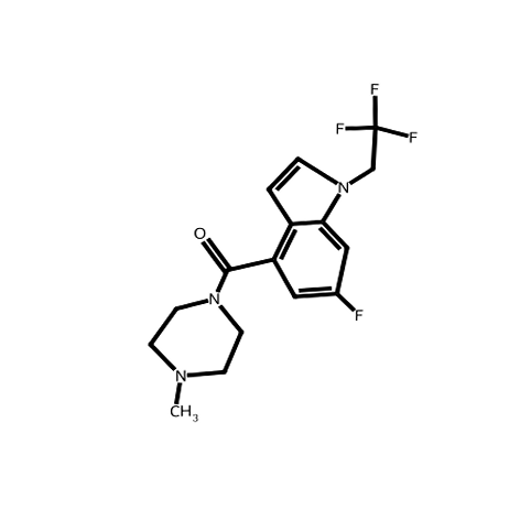 CN1CCN(C(=O)c2cc(F)cc3c2ccn3CC(F)(F)F)CC1